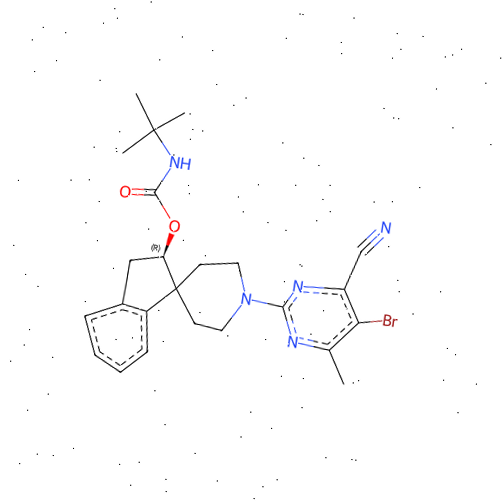 Cc1nc(N2CCC3(CC2)c2ccccc2C[C@H]3OC(=O)NC(C)(C)C)nc(C#N)c1Br